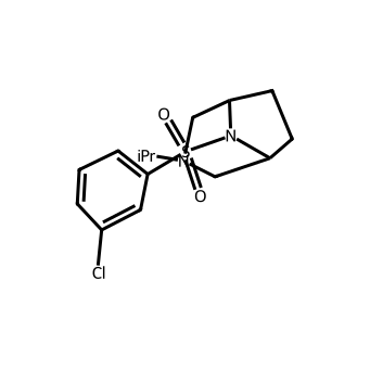 CC(C)N1CC2CCC(C1)N2S(=O)(=O)c1cccc(Cl)c1